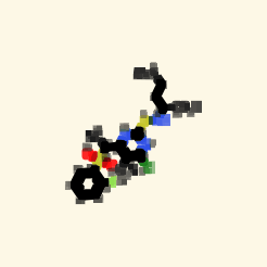 CSCC[C@H](NSc1nc(Cl)c([N+](=O)[O-])c(C(C#N)S(=O)(=O)c2ccccc2F)n1)C(=O)O